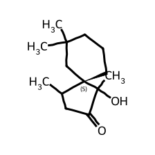 CC1CC(=O)C(C)(O)[C@]12CCCC(C)(C)C2